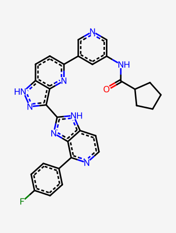 O=C(Nc1cncc(-c2ccc3[nH]nc(-c4nc5c(-c6ccc(F)cc6)nccc5[nH]4)c3n2)c1)C1CCCC1